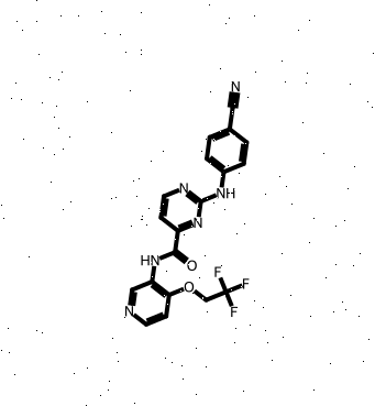 N#Cc1ccc(Nc2nccc(C(=O)Nc3cnccc3OCC(F)(F)F)n2)cc1